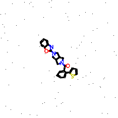 O=C(c1ccccc1-c1cccs1)N1CC2CN(c3nc4ccccc4o3)CC2C1